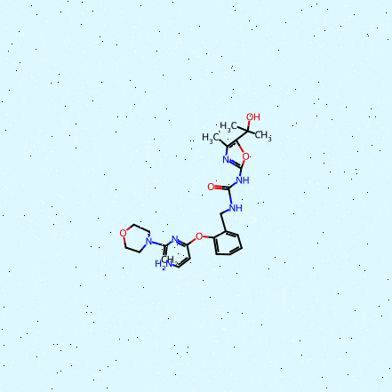 C=C(/N=C(\C=C/N)Oc1ccccc1CNC(=O)Nc1nc(C)c(C(C)(C)O)o1)N1CCOCC1